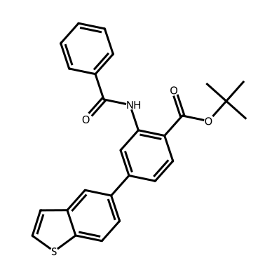 CC(C)(C)OC(=O)c1ccc(-c2ccc3sccc3c2)cc1NC(=O)c1ccccc1